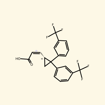 O=C(O)/C=C\[C@H]1CC1(c1cccc(C(F)(F)F)c1)c1cccc(C(F)(F)F)c1